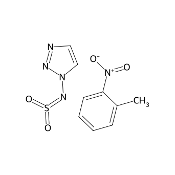 Cc1ccccc1[N+](=O)[O-].O=S(=O)=Nn1ccnn1